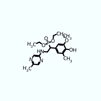 CCOP(=O)(OCC)C(CNc1cnc(C)cn1)c1cc(C)c(O)c(OC)c1